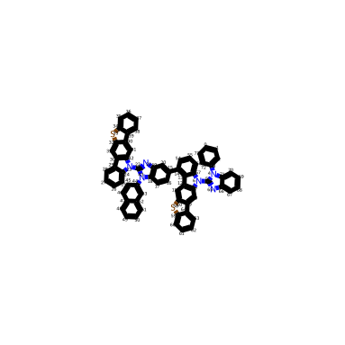 c1ccc(-n2c(-n3c4cc5c(cc4c4c(-c6ccc7c(c6)nc(-n6c8ccccc8c8cc9sc%10ccccc%10c9cc86)n7-c6ccc7ccccc7c6)cccc43)sc3ccccc35)nc3ccccc32)cc1